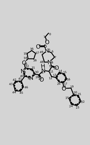 CCOC(=O)N1CCN(C(=O)C(Cc2cccc(OCc3ccccc3)c2)NC(=O)c2cc(OC3CCCC3)nc(-c3ccccc3)n2)CC1